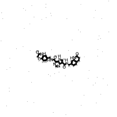 O=C1CCc2ccc(CNC(=O)c3c[nH]c4c(C(=O)NCc5ccc6c(c5)NC(=O)CO6)ncnc34)cc2N1